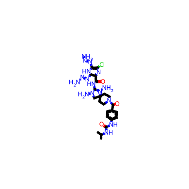 CC(C)NC(=O)Nc1ccc(C(=O)N2CCC3(CC2)CN(N)C(NC(=O)C2=NC(Cl)=C(N=NN)NC2N=NN)N3N)cc1